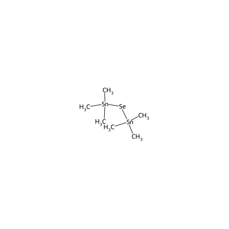 [CH3][Sn]([CH3])([CH3])[Se][Sn]([CH3])([CH3])[CH3]